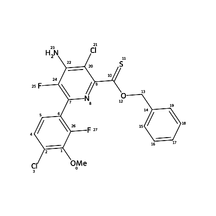 COc1c(Cl)ccc(-c2nc(C(=S)OCc3ccccc3)c(Cl)c(N)c2F)c1F